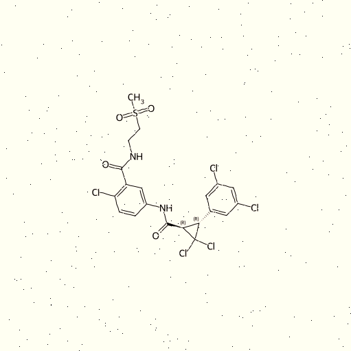 CS(=O)(=O)CCNC(=O)c1cc(NC(=O)[C@H]2[C@H](c3cc(Cl)cc(Cl)c3)C2(Cl)Cl)ccc1Cl